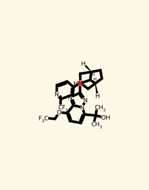 CC(C)(O)c1ccc(OCC(F)(F)F)c2nc(NC3[C@@H]4CC[C@H]3CN(c3ccnc(C(F)(F)F)c3)C4)nn12